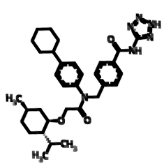 CC(C)[C@@H]1CC[C@@H](C)C[C@H]1OCC(=O)N(Cc1ccc(C(=O)Nc2nn[nH]n2)cc1)c1ccc(C2CCCCC2)cc1